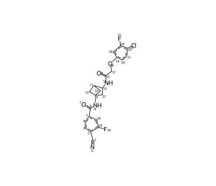 N#Cc1ccc(C(=O)NC23CC(C2)C(NC(=O)COc2ccc(Cl)c(F)c2)C3)cc1F